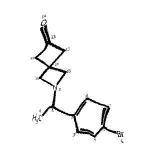 CC(c1ccc(Br)cc1)N1CC2(CC(=O)C2)C1